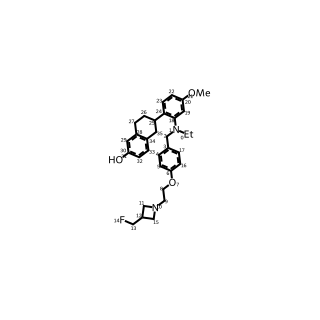 CCN(Cc1ccc(OCCN2CC(CF)C2)cc1)c1cc(OC)ccc1C1CCc2cc(O)ccc2C1